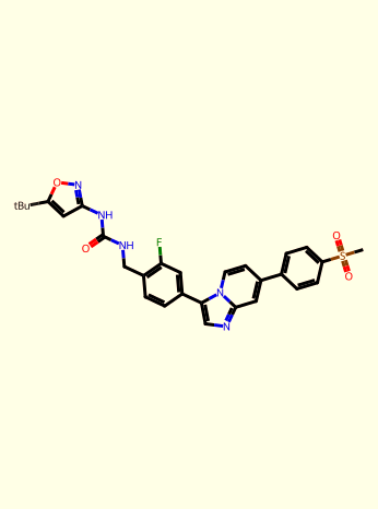 CC(C)(C)c1cc(NC(=O)NCc2ccc(-c3cnc4cc(-c5ccc(S(C)(=O)=O)cc5)ccn34)cc2F)no1